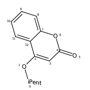 CCCC(C)Oc1cc(=O)oc2ccccc12